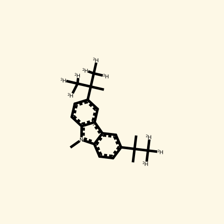 [2H]C([2H])([2H])C(C)(C)c1ccc2c(c1)c1cc(C(C)(C([2H])([2H])[2H])C([2H])([2H])[2H])ccc1n2C